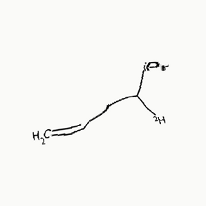 [2H]C(CC=C)C(C)C